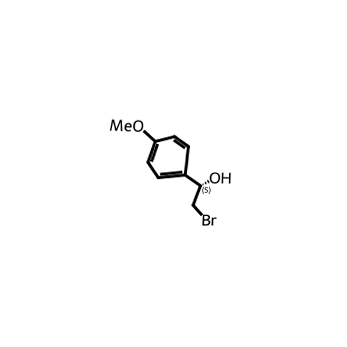 COc1ccc([C@H](O)CBr)cc1